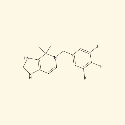 CC1(C)C2=C(C=CN1Cc1cc(F)c(F)c(F)c1)NCN2